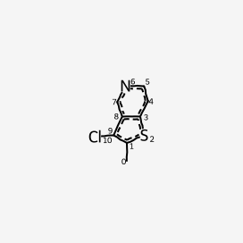 Cc1sc2ccncc2c1Cl